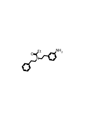 CCC(=O)N(CCc1ccccc1)CCc1cccc(N)c1